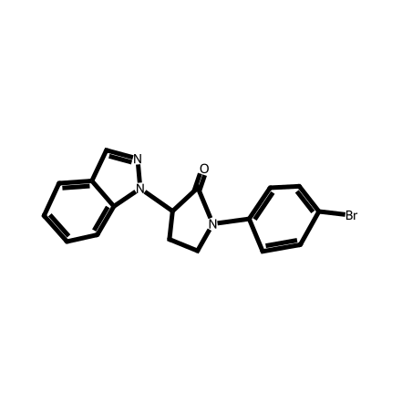 O=C1C(n2ncc3ccccc32)CCN1c1ccc(Br)cc1